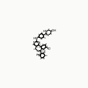 OC1CN=C(c2ccc(Nc3ncc4c(n3)-c3ccc(Cl)cc3C(c3c(F)cccc3F)=NC4)cc2)NC1